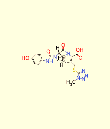 Cn1nnnc1SCC1=C(C(=O)O)N2C(=O)[C@@H]3[C@H]2[C@H](C1)CN3C(=O)Nc1ccc(O)cc1